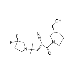 CC(C)(C=C(C#N)C(=O)N1CCC[C@H](CO)C1)N1CCC(F)(F)C1